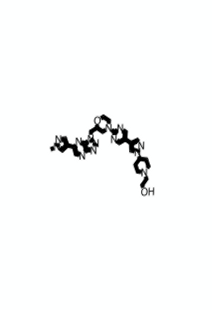 Cn1cc(-c2cnc3nnn(CC4CN(c5ncc(-c6cnn(C7CCN(CCO)CC7)c6)cn5)CCO4)c3n2)cn1